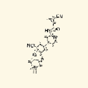 N#Cc1cc(-c2ccnc(NC(=O)C3CC3C#N)c2)ccc1O[C@H]1CCNC[C@H]1F